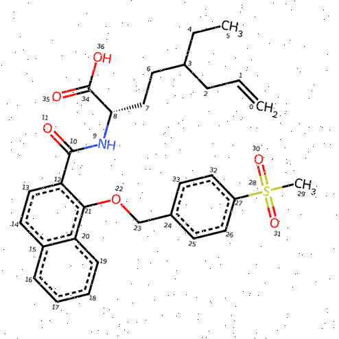 C=CCC(CC)CC[C@H](NC(=O)c1ccc2ccccc2c1OCc1ccc(S(C)(=O)=O)cc1)C(=O)O